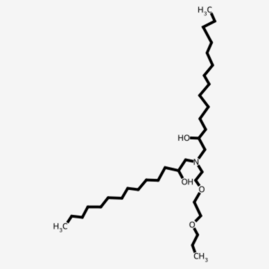 CCCCCCCCCCCCC(O)CN(CCOCCOCCC)CC(O)CCCCCCCCCCCC